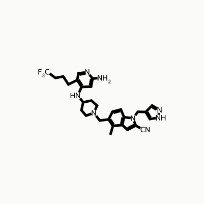 Cc1c(CN2CCC(Nc3cc(N)ncc3CCCC(F)(F)F)CC2)ccc2c1cc(C#N)n2Cc1cn[nH]c1